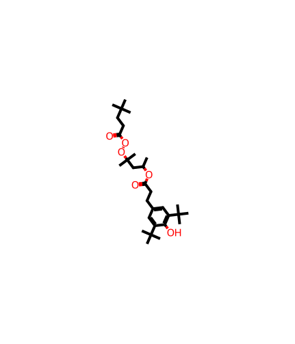 CC(CC(C)(C)OOC(=O)CCC(C)(C)C)OC(=O)CCc1cc(C(C)(C)C)c(O)c(C(C)(C)C)c1